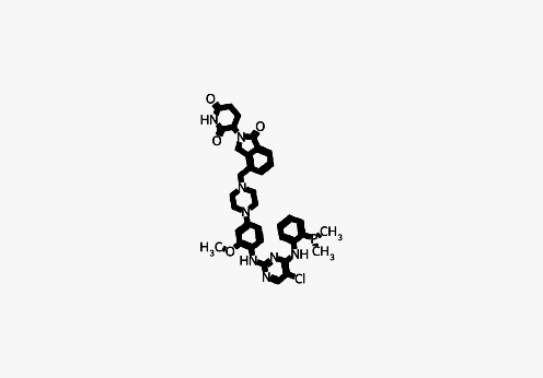 COc1cc(N2CCN(Cc3cccc4c3CN(C3CCC(=O)NC3=O)C4=O)CC2)ccc1Nc1ncc(Cl)c(Nc2ccccc2P(C)C)n1